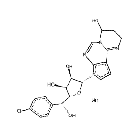 Cl.OC1CCN=C2c3ccn([C@@H]4O[C@H]([C@H](O)c5ccc(Cl)cc5)[C@@H](O)[C@H]4O)c3N=CN21